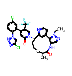 CCn1ncc2c1-c1ccnc(c1)[C@@H](n1cc(C(F)(F)F)c(-c3cc(Cl)ccc3-n3cc(Cl)nn3)cc1=O)CCC[C@@H](C)C(=O)N2